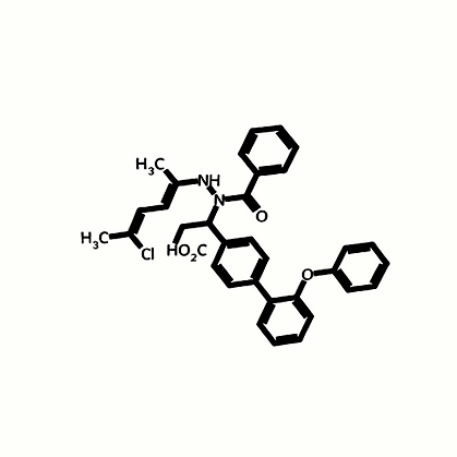 CC(Cl)=CC=C(C)NN(C(=O)c1ccccc1)C(CC(=O)O)c1ccc(-c2ccccc2Oc2ccccc2)cc1